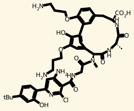 C[C@@H]1NC(=O)[C@@H](N(C)C(=O)CNC(=O)c2c(N)cc(-c3ccc(C(C)(C)C)cc3O)nc2Cl)c2cc(OCCCN)c(O)c(c2)-c2cc(ccc2OCCCN)C[C@@H](C(=O)O)NC1=O